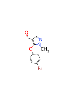 Cn1ncc(C=O)c1Oc1ccc(Br)cc1